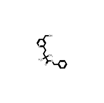 CC(C)(CCc1cc(CO)ccn1)C(=O)OCc1ccccc1